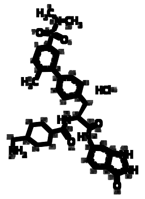 Cc1ccc(S(=O)(=O)N(C)C)cc1-c1ccc(C[C@H](NC(=O)C2CCC(CN)CC2)C(=O)Nc2ccc3c(=O)[nH][nH]c3c2)cc1.Cl